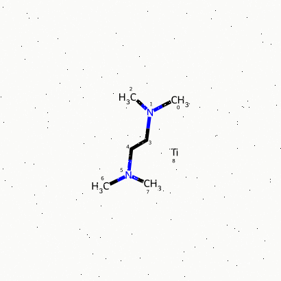 CN(C)CCN(C)C.[Ti]